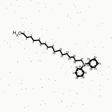 CCCCCCCCCCCCCCCCCCN(c1ccccc1)c1ccccc1